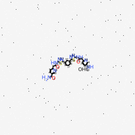 NC(=O)c1ccc(CC(=O)Nc2nnc([C@H]3CCC[C@H](c4nnc(NC(=O)Cc5ccc(NC=O)cn5)s4)C3)s2)nc1